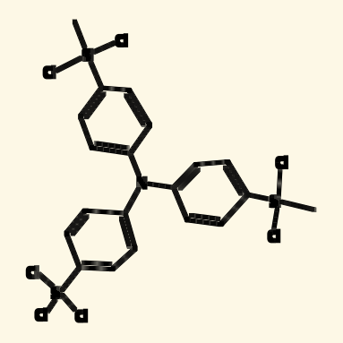 C[Si](Cl)(Cl)c1ccc(N(c2ccc([Si](C)(Cl)Cl)cc2)c2ccc([Si](Cl)(Cl)Cl)cc2)cc1